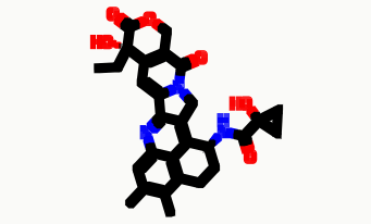 CC[C@@]1(O)C(=O)OCc2c1cc1n(c2=O)Cc2c-1nc1cc(C)c(C)c3c1c2[C@@H](NC(=O)C1(O)CC1)CC3